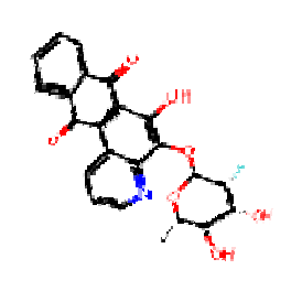 C[C@@H]1O[C@@H](Oc2c(O)c3c(c4cccnc24)C(=O)c2ccccc2C3=O)[C@H](F)[C@H](O)[C@H]1O